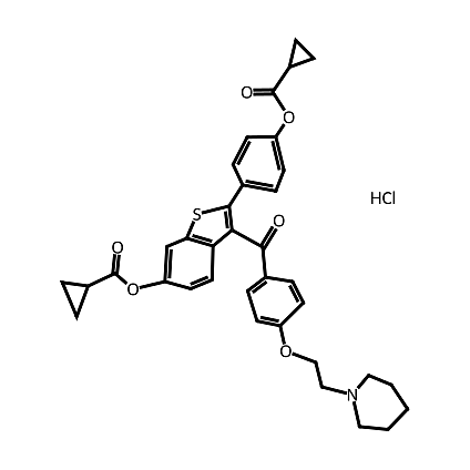 Cl.O=C(c1ccc(OCCN2CCCCC2)cc1)c1c(-c2ccc(OC(=O)C3CC3)cc2)sc2cc(OC(=O)C3CC3)ccc12